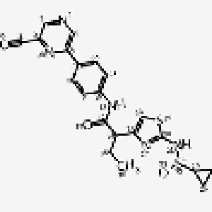 C#Cc1cncc(-c2ccc(NC(=O)C(CC)c3csc(N[S+]([O-])C4CC4)n3)cc2)n1